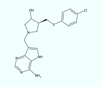 Nc1ncnc2c(CN3CC(O)[C@@H](CSc4ccc(Cl)cc4)C3)c[nH]c12